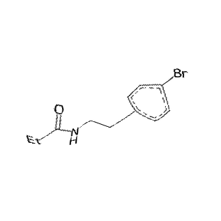 CCC(=O)NCCc1ccc(Br)cc1